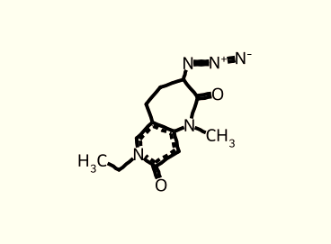 CCn1cc2c(cc1=O)N(C)C(=O)C(N=[N+]=[N-])CC2